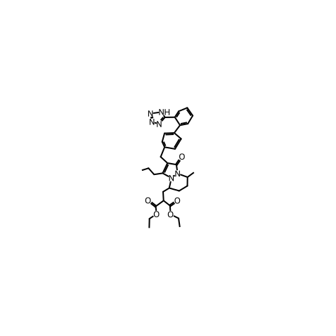 CCCc1c(Cc2ccc(-c3ccccc3-c3nnn[nH]3)cc2)c(=O)n2n1C(CC(C(=O)OCC)C(=O)OCC)CCC2C